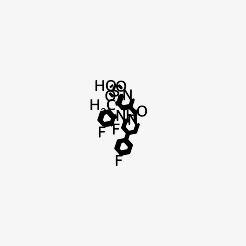 Cc1c(S(=O)(=O)O)ncc(C(=O)N2CCC(c3ccc(F)cc3)CC2)c1Nc1cccc(F)c1F